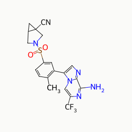 Cc1ccc(S(=O)(=O)N2CC3CC3(C#N)C2)cc1-c1cnc2c(N)nc(C(F)(F)F)cn12